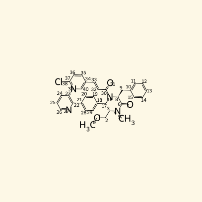 COCCN(C)C(=O)[C@H](Cc1ccccc1)N(Cc1ccc(-c2ccccn2)cc1)C(=O)/C=C/c1ccc(Cl)nc1